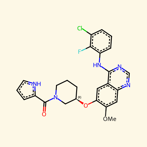 COc1cc2ncnc(Nc3cccc(Cl)c3F)c2cc1O[C@@H]1CCCN(C(=O)c2ccc[nH]2)C1